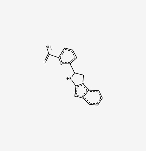 NC(=O)c1cccc(C2Cn3c(nc4ccccc43)[SH]2)n1